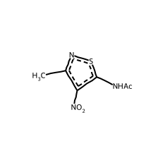 CC(=O)Nc1snc(C)c1[N+](=O)[O-]